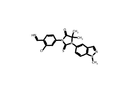 Cn1ncc2cc(N3C(=S)N(c4ccc(C=N)c(Cl)c4)C(=O)C3(C)C)ccc21